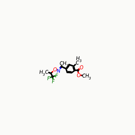 COC(=O)c1ccc(/C(C)=N/OC(C)C(F)(F)F)cc1C